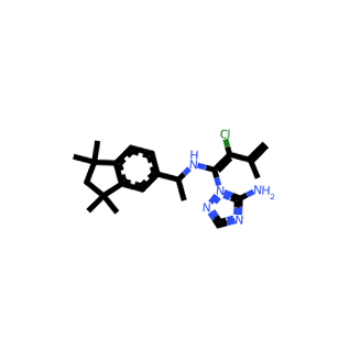 C=C(C)/C(Cl)=C(/NC(C)c1ccc2c(c1)C(C)(C)CC2(C)C)n1ncnc1N